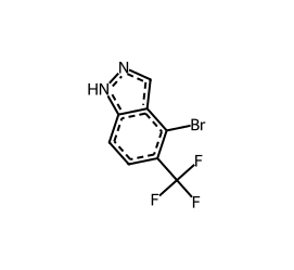 FC(F)(F)c1ccc2[nH]ncc2c1Br